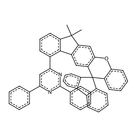 CC1(C)c2cc3c(cc2-c2c(-c4cc(-c5ccccc5)nc(-c5ccccc5)n4)cccc21)C1(c2ccccc2O3)c2ccccc2-c2ccccc21